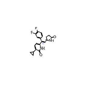 O=C1CC[C@H](/C=C(\c2ccc(F)c(F)c2)c2ccc(C3CC3)c(=O)[nH]2)N1